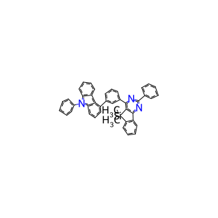 C[Si]1(C)c2ccccc2-c2nc(-c3ccccc3)nc(-c3cccc(-c4cccc5c4c4ccccc4n5-c4ccccc4)c3)c21